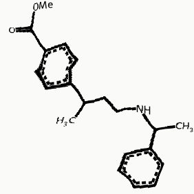 COC(=O)c1ccc(C(C)CCNC(C)c2ccccc2)cc1